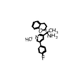 CC(N)(c1cncc(-c2ccc(F)cc2)c1)[C@H]1CCc2ccccc2O1.Cl